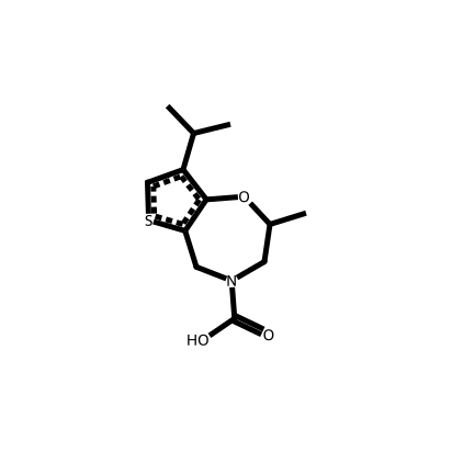 CC1CN(C(=O)O)Cc2scc(C(C)C)c2O1